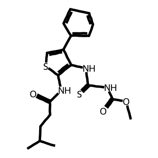 COC(=O)NC(=S)Nc1c(-c2ccccc2)csc1NC(=O)CCC(C)C